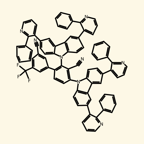 N#Cc1cc(-c2ccc(-n3c4ccc(-c5cccnc5-c5ccccc5)cc4c4cc(-c5cccnc5-c5ccccc5)ccc43)c(C#N)c2-n2c3ccc(-c4cccnc4-c4ccccc4)cc3c3cc(-c4cccnc4-c4ccccc4)ccc32)cc(C(F)(F)F)c1